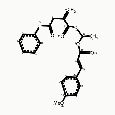 C=C(CC(=O)Oc1ccccc1)C(=O)OC(C)OC(=O)/C=C/c1ccc(OC)cc1